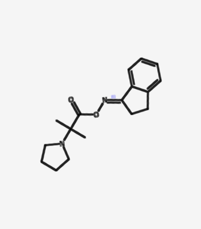 CC(C)(C(=O)O/N=C1\CCc2ccccc21)N1CCCC1